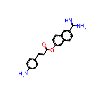 N=C(N)c1ccc2cc(OC(=O)C=Cc3ccc(N)cc3)ccc2c1